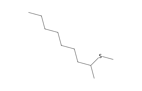 CCCCCCCC(C)SC